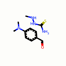 CN(C)c1ccc(C=O)cc1.CNNC(N)=S